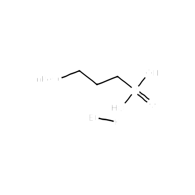 CCCCCCCCP(=O)(O)O.C[CH2][K]